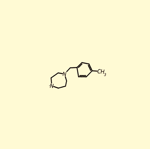 Cc1ccc(CN2CCC[N]CC2)cc1